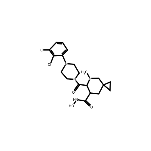 CN1CC2(CC2)CC(C(=O)NO)C1C(=O)N1CCN(c2cccc(Cl)c2Cl)CC1